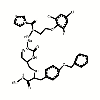 CC(C)CC(CNC(Cc1ccc(OCc2ccccc2)cc1)C(=O)NC(C)(C)C)NC(=O)OC(C)(C)C.CCCN(CCOc1c(Cl)cc(Cl)cc1Cl)C(=O)n1ccnc1